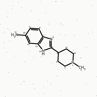 CN1CCC(c2nc3ccc(N)cc3[nH]2)CC1